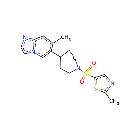 Cc1ncc(S(=O)(=O)N2CCC(c3cn4ccnc4cc3C)CC2)s1